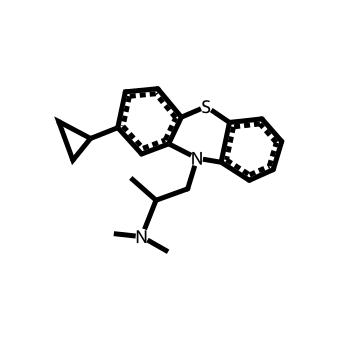 CC(CN1c2ccccc2Sc2ccc(C3CC3)cc21)N(C)C